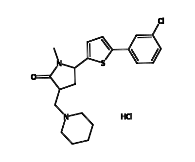 CN1C(=O)C(CN2CCCCC2)CC1c1ccc(-c2cccc(Cl)c2)s1.Cl